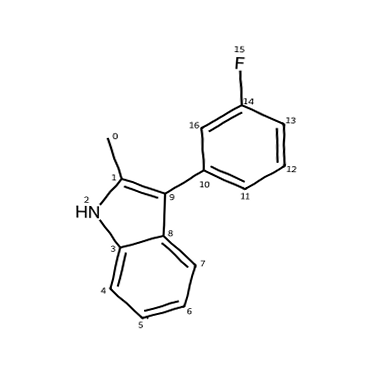 Cc1[nH]c2c[c]ccc2c1-c1cccc(F)c1